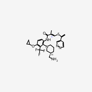 C=C(S/C=C(\C)C(=O)Nc1ccc(OC2CC2)c(C(F)(F)F)c1N1CCC[C@@H](CN)C1)c1ccnnc1